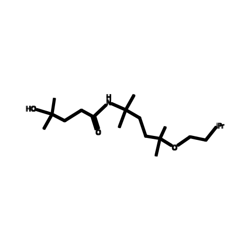 CC(C)CCOC(C)(C)CCC(C)(C)NC(=O)CCC(C)(C)O